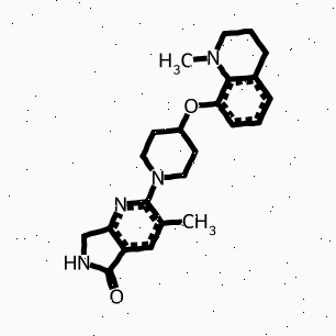 Cc1cc2c(nc1N1CCC(Oc3cccc4c3N(C)CCC4)CC1)CNC2=O